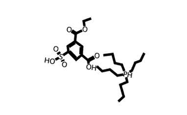 CCCC[PH](CCCC)(CCCC)CCCC.CCOC(=O)c1cc(C(=O)O)cc(S(=O)(=O)O)c1